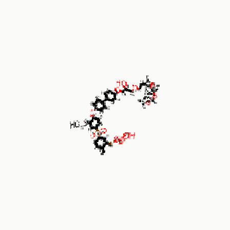 Cc1ccc(S(=O)(=O)c2ccc(Oc3ccc(-c4ccc(OCC(O)COCC[Si](C)(C)O[Si](C)(C)O[Si](C)(C)O[Si](C)(C)C)cc4)cc3)c(S(=O)(=O)O)c2)cc1SOOO